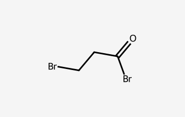 O=C(Br)CCBr